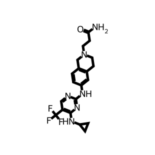 NC(=O)CCN1CCc2cc(Nc3ncc(C(F)(F)F)c(NC4CC4)n3)ccc2C1